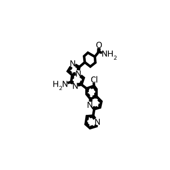 NC(=O)C1CCC(c2ncc3c(N)nc(-c4cc5nc(-c6ccccn6)ccc5cc4Cl)cn23)CC1